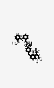 O=c1cc(C(F)(F)F)c2cc(Cc3ccc(S(=O)(=O)NCc4ccccc4Sc4ccccc4CO)cc3)ccc2[nH]1